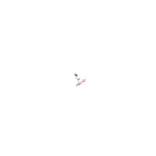 [C]=O.[Ni].[P]